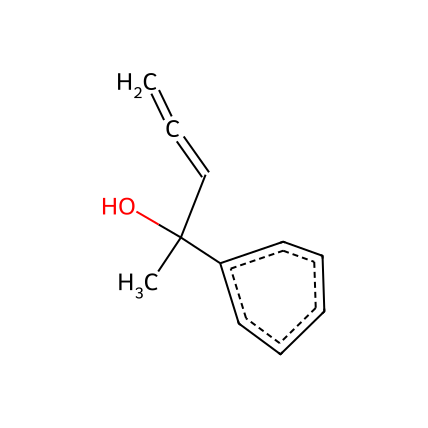 C=C=CC(C)(O)c1ccccc1